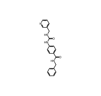 O=C(NCc1cccnc1)Nc1ccc(C(=O)NCc2ccccc2)cc1